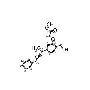 CCc1ccc(C(C)=NOCc2ccccc2)cc1OCC(=O)OC